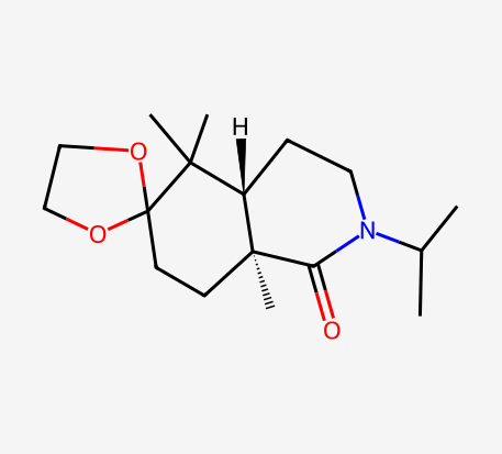 CC(C)N1CC[C@H]2C(C)(C)C3(CC[C@]2(C)C1=O)OCCO3